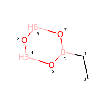 CCB1OBOBO1